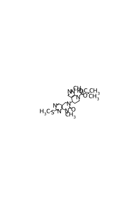 CSc1ncc2c(n1)N(C)C(=O)N(C1CCN(C(=O)OC(C)(C)C)c3c1cnn3C)C2